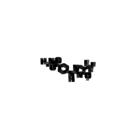 COc1nc(Nc2ccc(S(N)(=O)=O)cc2)ncc1C(F)(F)F